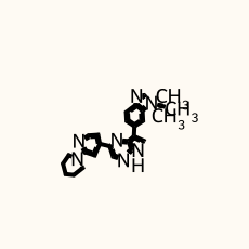 CC(C)(C)n1cnc2ccc(-c3c[nH]c4ncc(-c5ccnc(N6CCCCC6)c5)nc34)cc21